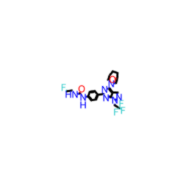 O=C(NCCF)Nc1ccc(-c2nc(N3CC4CCC(C3)O4)c3cnn(CC(F)(F)F)c3n2)cc1